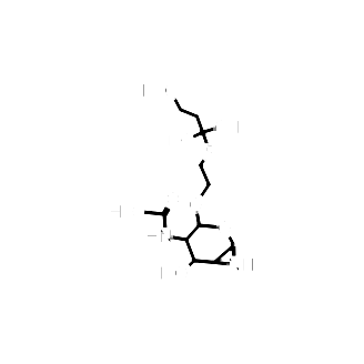 CCCC(C)(C)SCCOC1OC2NC2C(O)C1NC(C)=O